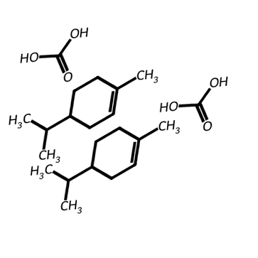 CC1=CCC(C(C)C)CC1.CC1=CCC(C(C)C)CC1.O=C(O)O.O=C(O)O